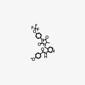 COc1ccc(C(=O)Nc2cnccc2CN2C(=O)N(c3ccc(OC(F)(F)F)cc3)C(=O)C2C)cc1